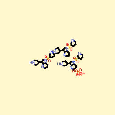 O=P(O)(O)O.O=S(=O)(c1cccnc1)n1cc(C2=CCNCC2)c2ncccc21.O=S(=O)(c1cccnc1)n1cc(C2=CCNCC2)c2ncccc21.O=S(=O)(c1cccnc1)n1cc(C2=CCNCC2)c2ncccc21